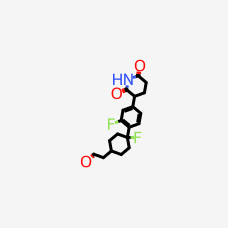 O=CCC1CCC(F)(c2ccc(C3CCC(=O)NC3=O)cc2F)CC1